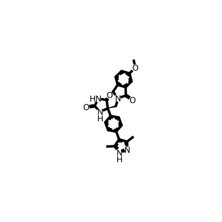 COc1ccc2c(c1)C(=O)N(C[C@@]1(c3ccc(-c4c(C)n[nH]c4C)cc3)NC(=O)NC1=O)C2